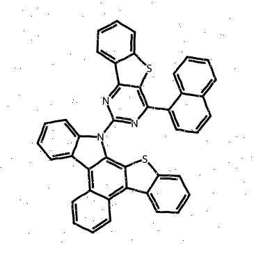 c1ccc2c(-c3nc(-n4c5ccccc5c5c6ccccc6c6c7ccccc7sc6c54)nc4c3sc3ccccc34)cccc2c1